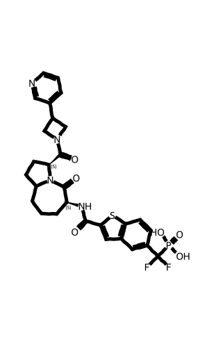 O=C(N[C@H]1CCCC2CC[C@@H](C(=O)N3CC(c4cccnc4)C3)N2C1=O)c1cc2cc(C(F)(F)P(=O)(O)O)ccc2s1